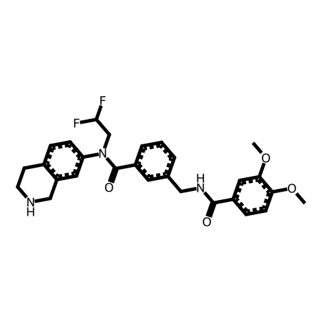 COc1ccc(C(=O)NCc2cccc(C(=O)N(CC(F)F)c3ccc4c(c3)CNCC4)c2)cc1OC